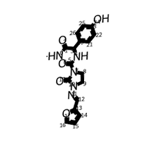 [NH]C(=O)C(NC(=O)N1CCN(/N=C/c2ccco2)C1=O)c1ccc(O)cc1